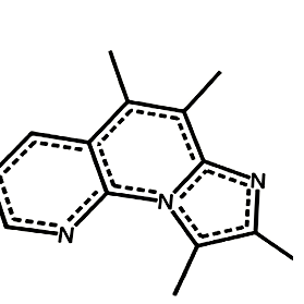 Cc1nc2c(C)c(C)c3cccnc3n2c1C